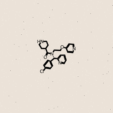 O=C(C1CCNCC1)N(CCOc1ccncc1)[C@@H](c1ccc(Cl)cc1)c1ccccn1